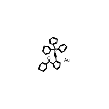 O=C(c1ccccc1)c1ccccc1C#C[PH](c1ccccc1)(c1ccccc1)c1ccccc1.[Au]